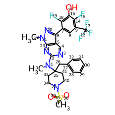 CN(c1ncc2c(-c3cc(C(F)(F)F)c(F)c(O)c3F)nn(C)c2n1)C1(Cc2ccccc2)CCN(S(C)(=O)=O)CC1